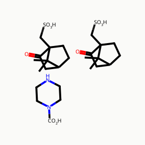 CC1(C)C2CCC1(CS(=O)(=O)O)C(=O)C2.CC1(C)C2CCC1(CS(=O)(=O)O)C(=O)C2.O=C(O)N1CCNCC1